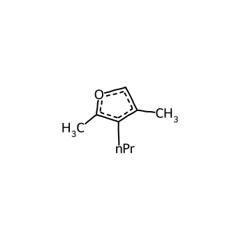 CCCc1c(C)coc1C